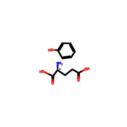 N[C@@H](CCC(=O)O)C(=O)O.Oc1ccccc1